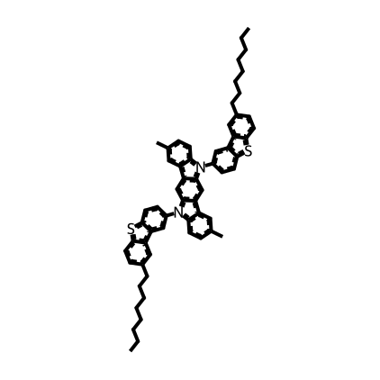 CCCCCCCCc1ccc2sc3ccc(-n4c5ccc(C)cc5c5cc6c(cc54)c4cc(C)ccc4n6-c4ccc5sc6ccc(CCCCCCCC)cc6c5c4)cc3c2c1